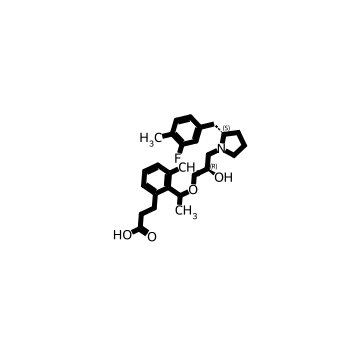 Cc1ccc(C[C@@H]2CCCN2C[C@@H](O)COC(C)c2c(C)cccc2CCC(=O)O)cc1F